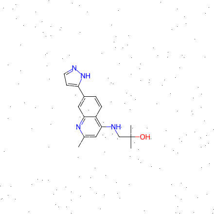 Cc1cc(NCC(C)(C)O)c2ccc(-c3ccn[nH]3)cc2n1